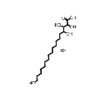 O=C(O)C(O)C(O)C(O)CCCCCCCCCCCCCCO.[KH]